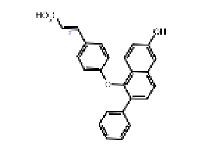 O=C(O)/C=C/c1ccc(Oc2c(-c3ccccc3)ccc3cc(O)ccc23)cc1